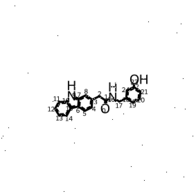 O=C(Cc1ccc2c(c1)[nH]c1ccccc12)NCc1cccc(O)c1